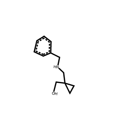 OCC1(CNCc2ccccc2)CC1